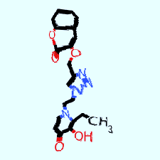 CCc1c(O)c(=O)ccn1CCn1cc(COc2cc3ccccc3oc2=O)nn1